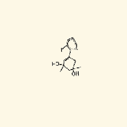 CC1(O)C=C(c2ccccc2I)CC(C)(O)C1